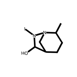 CC1CCC2CN1N(I)C2O